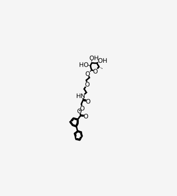 C[C@@H]1O[C@@H](OCCOCCNC(=O)COOC(=O)c2cccc(-c3ccccc3)c2)[C@H](O)[C@H](O)[C@H]1O